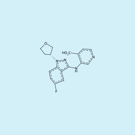 O=C(O)c1ccncc1Nc1nn([C@@H]2CCOC2)c2ccc(F)cc12